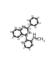 CNc1cccnc1-c1nc(-c2ccccc2)nc2ccccc12